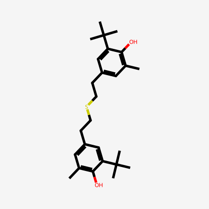 Cc1cc(CCSCCc2cc(C)c(O)c(C(C)(C)C)c2)cc(C(C)(C)C)c1O